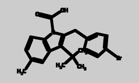 Cc1ccc2c(c1)c(C(C)(C)C)c(Cc1ccc(Br)cc1)n2C(=O)O